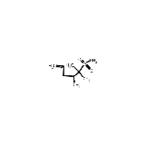 C=CC[C@H](C)C(C)(C)S(N)(=O)=O